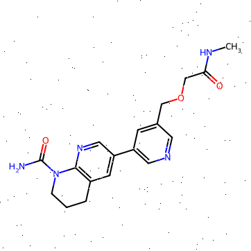 CNC(=O)COCc1cncc(-c2cnc3c(c2)CCCN3C(N)=O)c1